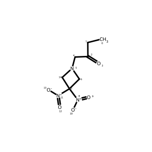 CCC(=O)CN1CC([N+](=O)[O-])([N+](=O)[O-])C1